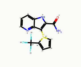 NC(=O)c1[nH]c2cccnc2c1[SH]1C=CC=C1C(F)(F)F